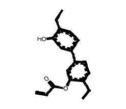 C=CC(=O)Oc1cc(-c2ccc(CC)c(O)c2)ccc1CC